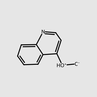 [CH2-][OH+]c1ccnc2ccccc12